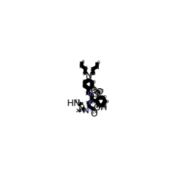 CCCCN(CCCC)c1ccc(/C=C2/C(=C/C(=N\N(C)C=N)C(=O)O)c3ccccc3S2(=O)=O)cc1